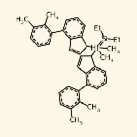 CC[Si](CC)=[Hf]([CH3])([CH3])([CH]1C=Cc2c(-c3cccc(C)c3C)cccc21)[CH]1C=Cc2c(-c3cccc(C)c3C)cccc21